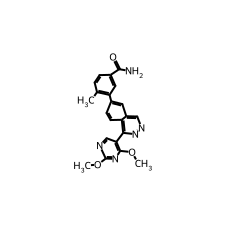 COc1ncc(-c2nncc3cc(-c4cc(C(N)=O)ccc4C)ccc23)c(OC)n1